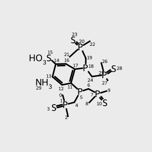 CP(C)(=S)CP(CP(C)(C)=S)c1ccc(S(=O)(=O)O)cc1P(CP(C)(C)=S)CP(C)(C)=S.N